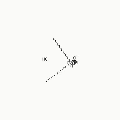 CCCCCCCCCCCCCCCCCCC(C(O)(CC(=O)[O-])C(=O)CCCCCCCCCCCCCCCCC)[N+](C)(C)C.Cl